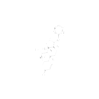 CC1CC2OC(=O)C=C[C@]2(C)[C@@H]2CC[C@]3(C)C(Oc4ncccn4)CC[C@H]3[C@H]12